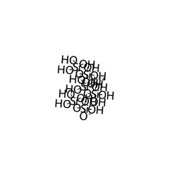 O[Si](O)(O)O[Si](O)(O)O.O[Si](O)(O)O[Si](O)(O)O.[Li+].[O-][Si](O)(O)O[Si](O)(O)O